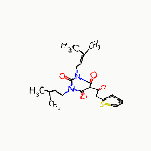 CC(C)=CCN1C(=O)C(C(=O)Cc2cccs2)C(=O)N(CCC(C)C)C1=O